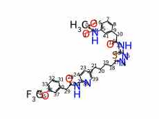 CS(=O)(=O)Nc1cccc(CC(=O)Nc2nnc(CCCCc3ccc(NC(=O)Cc4cccc(OC(F)(F)F)c4)nc3)s2)c1